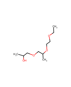 CCOC[CH]OC(C)COCC(C)O